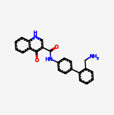 NCc1ccccc1-c1ccc(NC(=O)c2c[nH]c3ccccc3c2=O)cc1